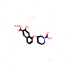 COC(=O)c1cc2cccc(O[C@@H]3CCCN(C(=O)O)C3)c2cc1O